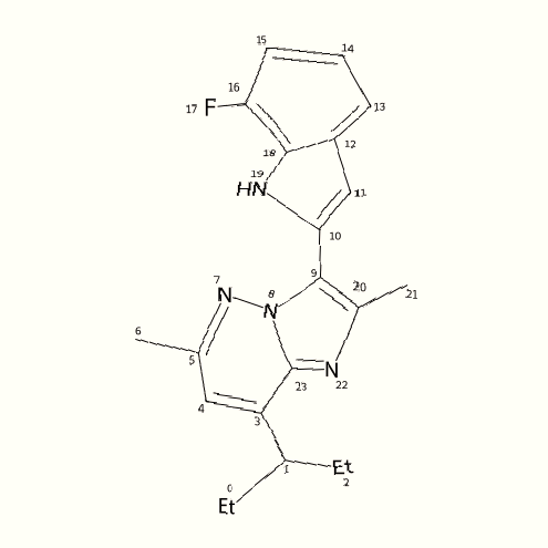 CCC(CC)c1cc(C)nn2c(-c3cc4cccc(F)c4[nH]3)c(C)nc12